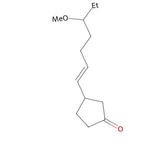 CCC(CCC=CC1CCC(=O)C1)OC